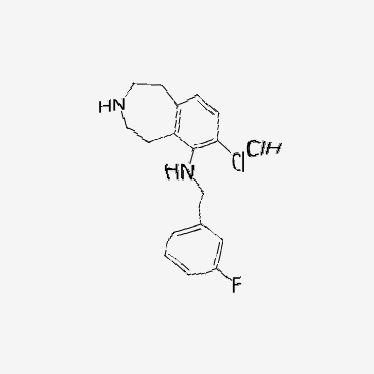 Cl.Fc1cccc(CNc2c(Cl)ccc3c2CCNCC3)c1